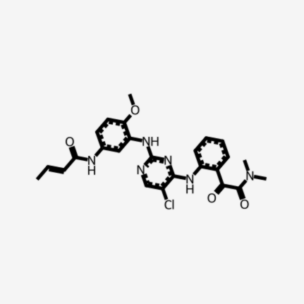 CC=CC(=O)Nc1ccc(OC)c(Nc2ncc(Cl)c(Nc3ccccc3C(=O)C(=O)N(C)C)n2)c1